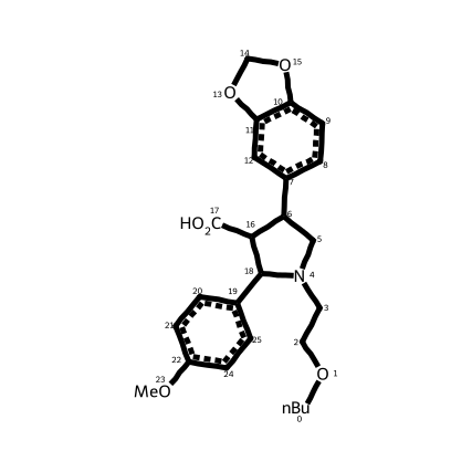 CCCCOCCN1CC(c2ccc3c(c2)OCO3)C(C(=O)O)C1c1ccc(OC)cc1